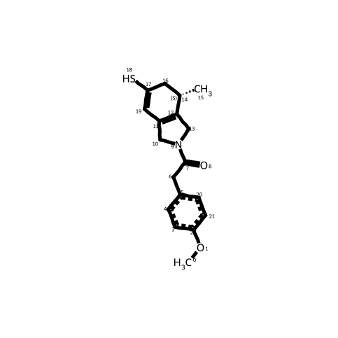 COc1ccc(CC(=O)N2CC3=C(C2)[C@@H](C)CC(S)=C3)cc1